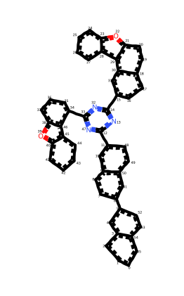 c1ccc2cc(-c3ccc4cc(-c5nc(-c6ccc7ccc8oc9ccccc9c8c7c6)nc(-c6cccc7oc8ccccc8c67)n5)ccc4c3)ccc2c1